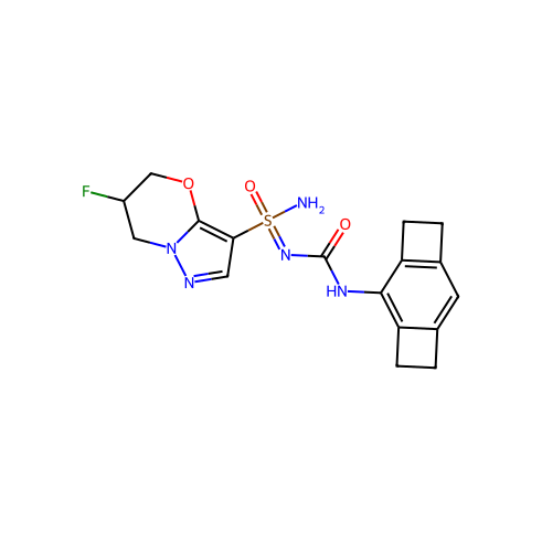 NS(=O)(=NC(=O)Nc1c2c(cc3c1CC3)CC2)c1cnn2c1OCC(F)C2